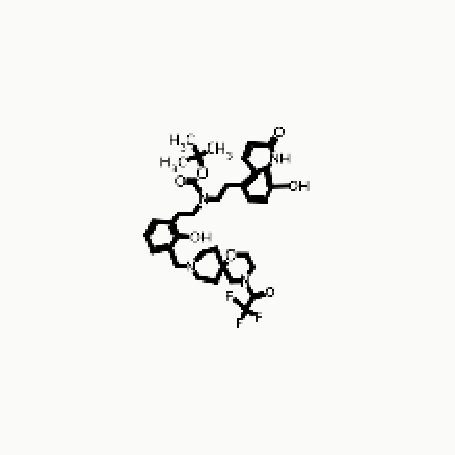 CC(C)(C)OC(=O)N(CCc1cccc(CN2CCC3(CC2)CN(C(=O)C(F)(F)F)CCO3)c1O)CCc1ccc(O)c2[nH]c(=O)ccc12